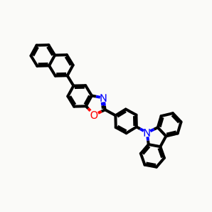 c1ccc2cc(-c3ccc4oc(-c5ccc(-n6c7ccccc7c7ccccc76)cc5)nc4c3)ccc2c1